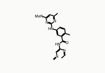 C=N/C=C(\N=C/C)NC(=O)c1cc(Nc2nc(C)cc(NC)n2)ccc1C